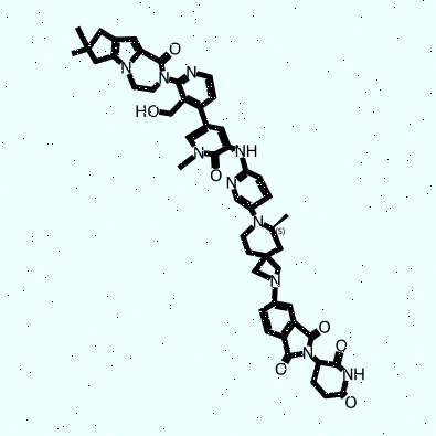 C[C@H]1CC2(CCN1c1ccc(Nc3cc(-c4ccnc(N5CCn6c(cc7c6CC(C)(C)C7)C5=O)c4CO)cn(C)c3=O)nc1)CN(c1ccc3c(c1)C(=O)N(C1CCC(=O)NC1=O)C3=O)C2